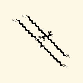 CCCCCCCCCCCCC(C(=O)O)C(CCCCCCCCCCCC)C(=O)O.CCCCCCCCCCCCOC(=O)CCC(=O)OCCCCCCCCCCCC